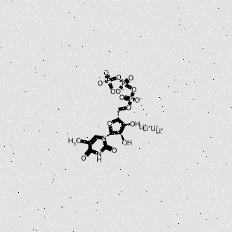 Cc1cn([C@@H]2O[C@H](COP(=O)([O-])OP(=O)([O-])OP(=O)([O-])[O-])[C@@H](O)[C@H]2O)c(=O)[nH]c1=O.[Li+].[Li+].[Li+].[Li+]